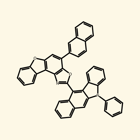 c1ccc(-n2c3ccccc3c3c(-c4nc5c(o4)c(-c4ccc6ccccc6c4)cc4oc6ccccc6c45)c4ccccc4cc32)cc1